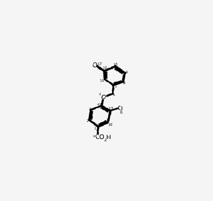 O=C(O)c1ccc(OCc2cccc(Cl)c2)c(Cl)c1